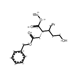 CC(C)C(CCO)[C@H](CC(=O)OCc1ccccc1)C(=O)OC(C)(C)C